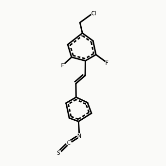 Fc1cc(CCl)cc(F)c1/C=C/c1ccc(N=C=S)cc1